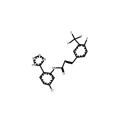 O=C(C=Cc1ccc(F)c(C(F)(F)F)c1)Nc1cc(Cl)ccc1-c1nnn[nH]1